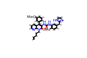 C=CCCCn1c(=O)c(NC(=O)Nc2cc(Cc3ncc[nH]3)ccc2C(C)(C)C)c(-c2cccc(OC)c2)c2cccnc21